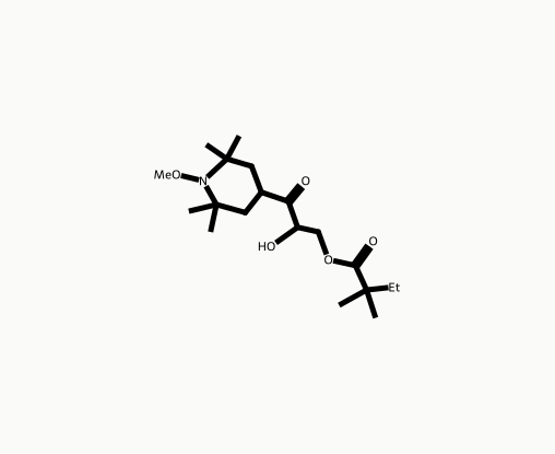 CCC(C)(C)C(=O)OCC(O)C(=O)C1CC(C)(C)N(OC)C(C)(C)C1